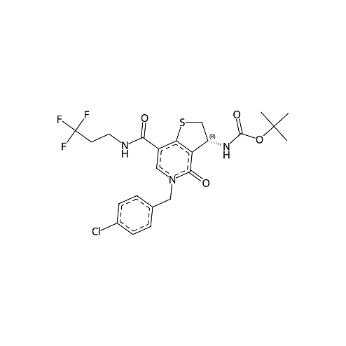 CC(C)(C)OC(=O)N[C@H]1CSc2c(C(=O)NCCC(F)(F)F)cn(Cc3ccc(Cl)cc3)c(=O)c21